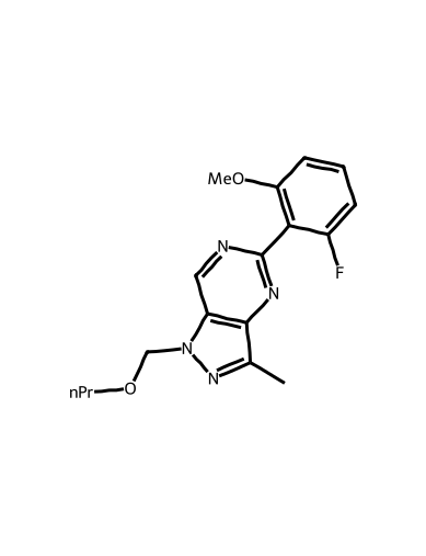 CCCOCn1nc(C)c2nc(-c3c(F)cccc3OC)ncc21